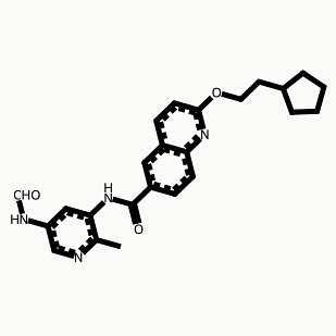 Cc1ncc(NC=O)cc1NC(=O)c1ccc2nc(OCCC3CCCC3)ccc2c1